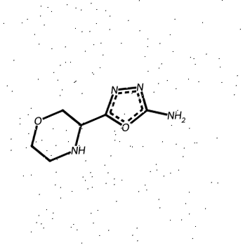 Nc1nnc(C2COCCN2)o1